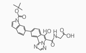 CC(C)(C)OC(=O)n1ccc2ccc(-c3ccc4c(O)c(C(=O)NCC(=O)O)n5ncnc5c4c3)cc21